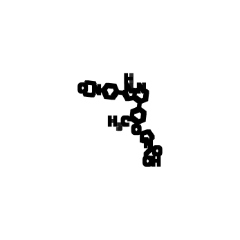 Cc1cc(-c2ccnc3[nH]c(-c4ccc(N5CCOCC5)cc4)cc23)ccc1O[C@@H]1CCN(C(=O)CO)C1